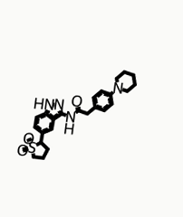 O=C(Cc1ccc(N2CCCCC2)cc1)Nc1n[nH]c2ccc(C3CCCS3(=O)=O)cc12